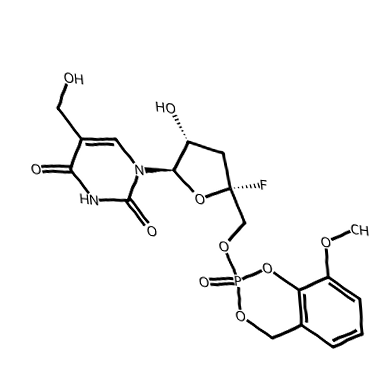 COc1cccc2c1OP(=O)(OC[C@]1(F)C[C@@H](O)[C@H](n3cc(CO)c(=O)[nH]c3=O)O1)OC2